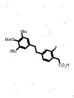 COc1c(C(C)(C)C)cc(CCc2ccc(CC(=O)O)c(F)c2)cc1C(C)(C)C